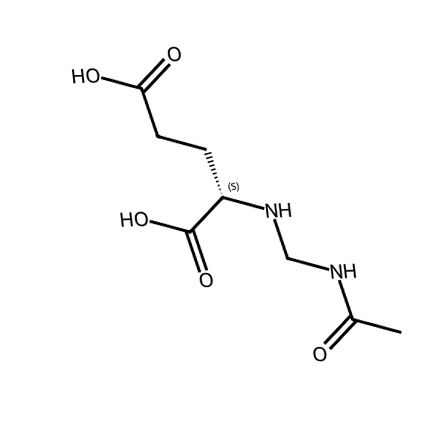 CC(=O)NCN[C@@H](CCC(=O)O)C(=O)O